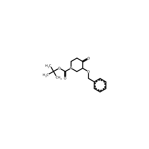 CC(C)(C)OC(=O)N1CCC(=O)C(OCc2ccccc2)C1